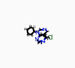 Clc1ncnc2c1CN=CN2C1CCCCC1